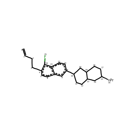 C=CCCc1ccc2cc(C3CCC4CC(CCC)CCC4C3)ccc2c1F